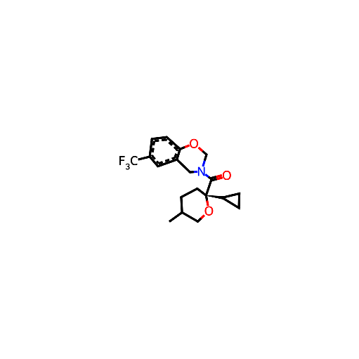 CC1CC[C@@](C(=O)N2COc3ccc(C(F)(F)F)cc3C2)(C2CC2)OC1